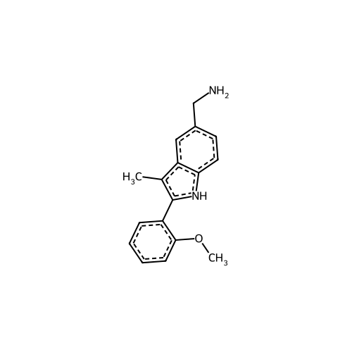 COc1ccccc1-c1[nH]c2ccc(CN)cc2c1C